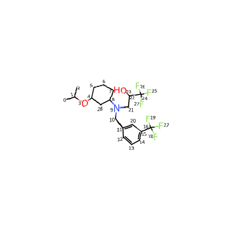 CC(C)OC1CCCC(N(Cc2cccc(C(F)(F)F)c2)CC(O)C(F)(F)F)C1